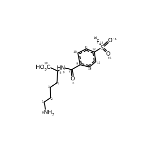 NCCCCC(NC(=O)c1ccc(S(=O)(=O)F)cc1)C(=O)O